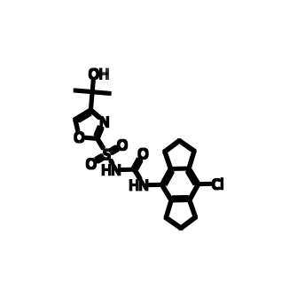 CC(C)(O)c1coc(S(=O)(=O)NC(=O)Nc2c3c(c(Cl)c4c2CCC4)CCC3)n1